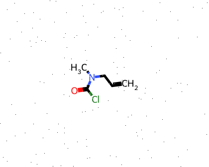 C=CCN(C)C(=O)Cl